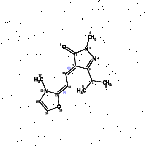 CC(C)C1=NN(C)C(=O)/C1=C/C=C1/OC=CN1C